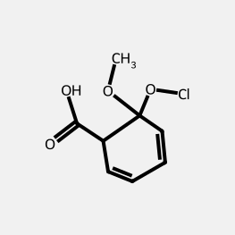 COC1(OCl)C=CC=CC1C(=O)O